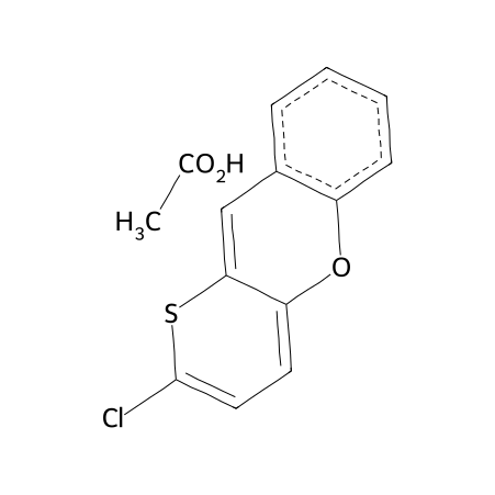 CC(=O)O.ClC1=CC=C2Oc3ccccc3C=C2S1